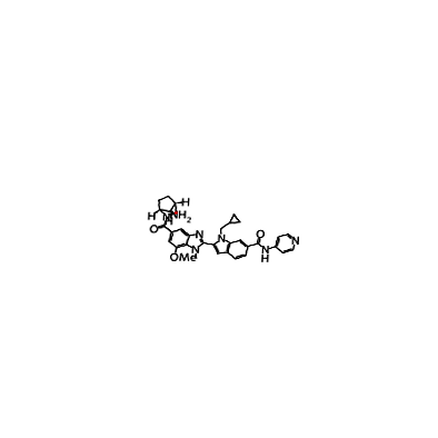 COc1cc(C(=O)N2C[C@H]3CC[C@@H]2[C@@H]3N)cc2nc(-c3cc4ccc(C(=O)Nc5ccncc5)cc4n3CC3CC3)n(C)c12